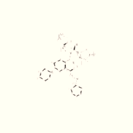 C[C@@H](c1ccc(-c2ccccc2)cc1C(=O)OCc1ccccc1)[C@H](NC(=O)OC(C)(C)C)C(=O)N1CC[C@H](F)C1